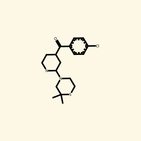 CC1(C)CN(C2CC(C(=O)c3ccc(Cl)cc3)CC[N]2)CCS1